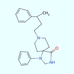 CC(CCN1CCC2(CC1)C(=O)NCN2c1ccccc1)c1ccccc1